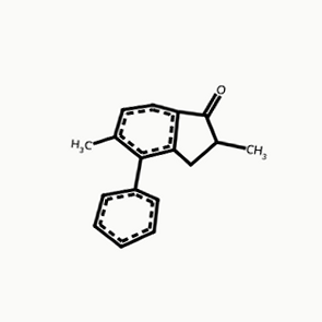 Cc1ccc2c(c1-c1ccccc1)CC(C)C2=O